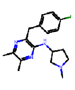 Cc1nc(Cc2ccc(F)cc2)c(NC2CCN(C)C2)nc1C